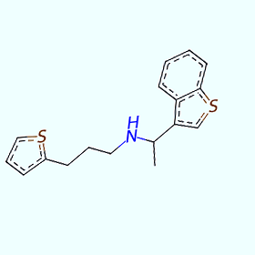 CC(NCCCc1cccs1)c1csc2ccccc12